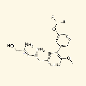 COc1ncc(CN(N)/C=C(\N)CO)nc1-c1cccc(OC(F)F)c1